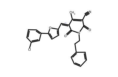 CC1=C(C#N)C(=O)N(CCc2ccccc2)C(=O)/C1=C\c1ccc(-c2cccc(Cl)c2)o1